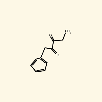 CCC(=O)C(=O)Cc1ccccc1